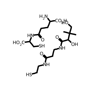 CC(C)(CO)C(O)C(=O)NCCC(=O)NCCS.NC(CCC(=O)NC(CS)C(=O)O)C(=O)O